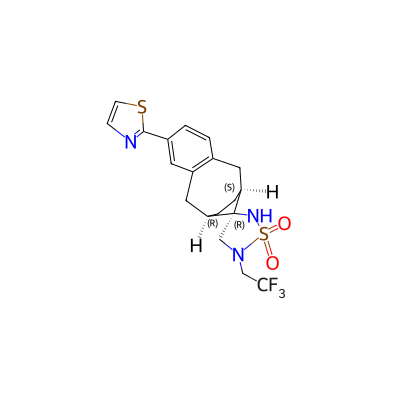 O=S1(=O)N[C@@]2(CN1CC(F)(F)F)[C@@H]1CC[C@H]2Cc2ccc(-c3nccs3)cc2C1